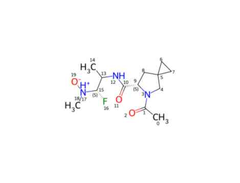 CC(=O)N1CC2(CC2)C[C@H]1C(=O)NC(C)[C@H](F)[NH+](C)[O-]